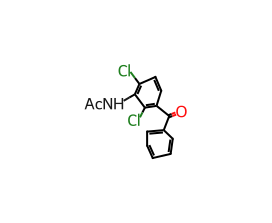 CC(=O)Nc1c(Cl)ccc(C(=O)c2ccccc2)c1Cl